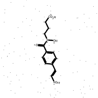 CCCCCCCCC=Cc1ccc(C(=O)N(O)CCCC(=O)O)cc1